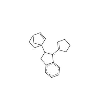 C1=CC2(C3Cc4ccccc4[C]3C3=CCCC3)CCC1C2